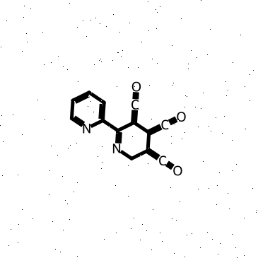 O=C=C1CN=C(c2ccccn2)C(=C=O)C1=C=O